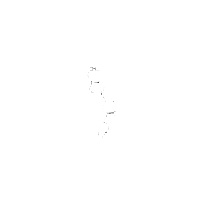 CCOC(=O)CC(=O)c1ccc(CC)cc1